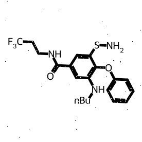 CCCCNc1cc(C(=O)NCCC(F)(F)F)cc(SN)c1Oc1ccccc1